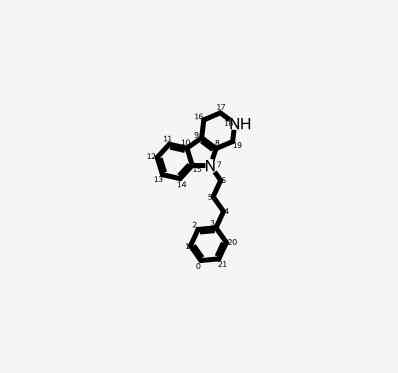 c1ccc(CCCn2c3c(c4ccccc42)CCNC3)cc1